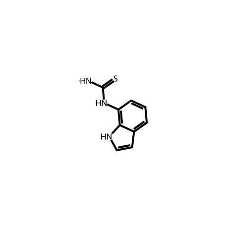 [NH]C(=S)Nc1cccc2cc[nH]c12